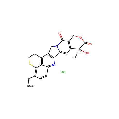 CC[C@@]1(O)C(=O)OCc2c1cc1n(c2=O)Cc2c-1nc1ccc(CNC)c3c1c2CCS3.Cl